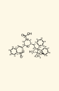 CC(C)(C)[Si](OC[C@@H]1CN(C(=O)O)CC(/C=C/c2ccccc2[N+](=O)[O-])O1)(c1ccccc1)c1ccccc1